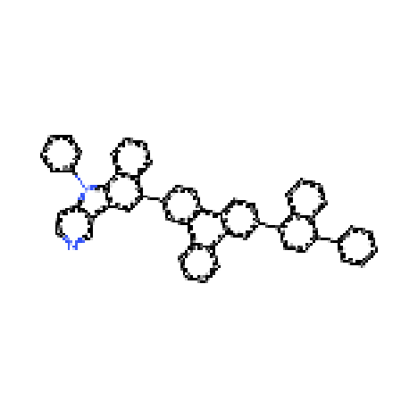 c1ccc(-c2ccc(-c3ccc4c5ccc(-c6cc7c8cnccc8n(-c8ccccc8)c7c7ccccc67)cc5c5ccccc5c4c3)c3ccccc23)cc1